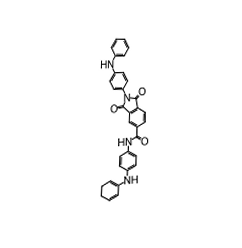 O=C(Nc1ccc(NC2=CCCC=C2)cc1)c1ccc2c(c1)C(=O)N(c1ccc(Nc3ccccc3)cc1)C2=O